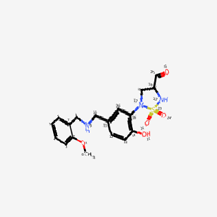 COc1ccccc1CNCc1ccc(O)c(N2CC(C=O)NS2(=O)=O)c1